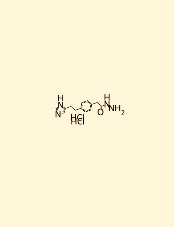 Cl.Cl.NNC(=O)Cc1ccc(CCc2cnc[nH]2)cc1